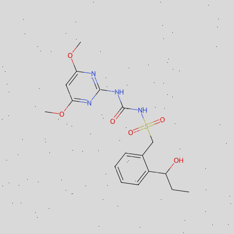 CCC(O)c1ccccc1CS(=O)(=O)NC(=O)Nc1nc(OC)cc(OC)n1